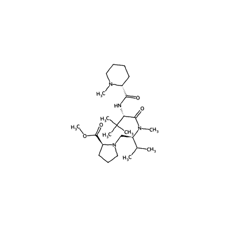 COC(=O)[C@@H]1CCCN1C[C@H](C(C)C)N(C)C(=O)[C@@H](NC(=O)[C@H]1CCCCN1C)C(C)(C)C